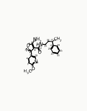 COc1ccc(-c2noc(N)c2C(=O)NCCC(C)c2ccccc2)cn1